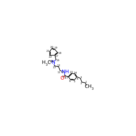 CCCCc1ccc(C(=O)NCCCN(C)Cc2ccccc2)cc1